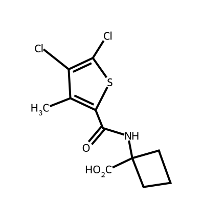 Cc1c(C(=O)NC2(C(=O)O)CCC2)sc(Cl)c1Cl